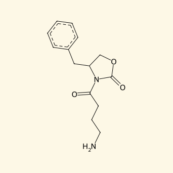 NCCCC(=O)N1C(=O)OCC1Cc1ccccc1